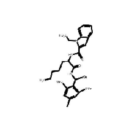 CCCCC(NC(=O)[C@@H](CCCCN)NC(=O)c1cc2ccccc2n1CC(=O)O)c1c(OC)cc(C)cc1OC